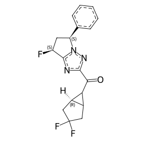 O=C(c1nc2n(n1)[C@H](c1ccccc1)C[C@@H]2F)C1C2CC(F)(F)C[C@H]21